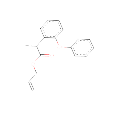 C=CCOC(=O)C(C)c1ccccc1Oc1ccccc1